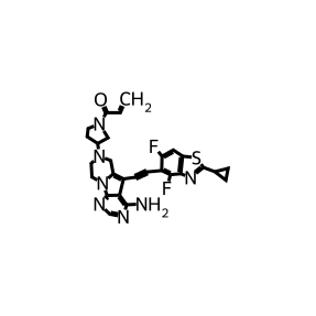 C=CC(=O)N1CCC(N2CCn3c(c(C#Cc4c(F)cc5sc(C6CC6)nc5c4F)c4c(N)ncnc43)C2)C1